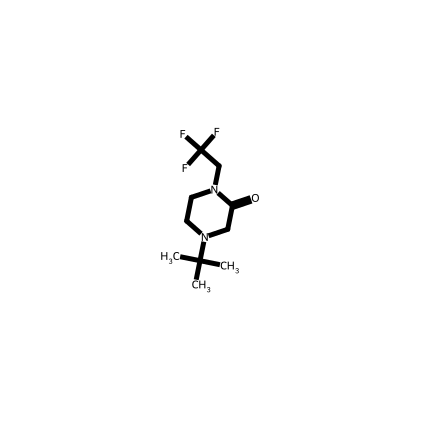 CC(C)(C)N1CCN(CC(F)(F)F)C(=O)C1